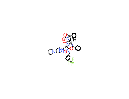 C[C@@]1(N2C(=O)OC[C@@H]2c2ccccc2)C(=O)N([C@H](CC(=O)N2CCC(N3CCCCC3)CC2)C(=O)NCc2cccc(C(F)(F)F)c2)[C@@H]1/C=C/c1ccccc1